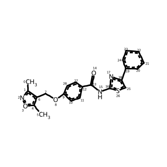 Cc1noc(C)c1COc1ccc(C(=O)Nc2nc(-c3ccccc3)cs2)cc1